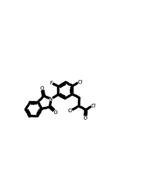 O=C(Cl)C(Cl)Cc1cc(N2C(=O)c3ccccc3C2=O)c(F)cc1Cl